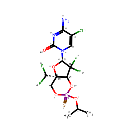 CC(C)OP1(=S)OC[C@@]2(C(F)F)O[C@@H](n3cc(Cl)c(N)nc3=O)C(F)(F)C2O1